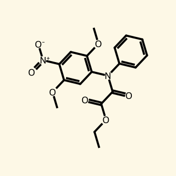 CCOC(=O)C(=O)N(c1ccccc1)c1cc(OC)c([N+](=O)[O-])cc1OC